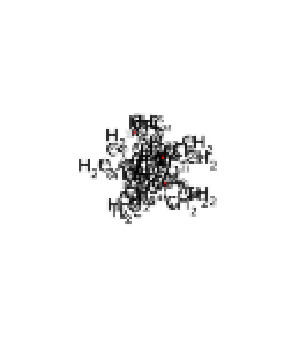 C=CCO[PH](OCC=C)(OCC=C)[Fe]([PH](OCC=C)(OCC=C)OCC=C)([PH](OCC=C)(OCC=C)OCC=C)([PH](OCC=C)(OCC=C)OCC=C)[PH](OCC=C)(OCC=C)OCC=C